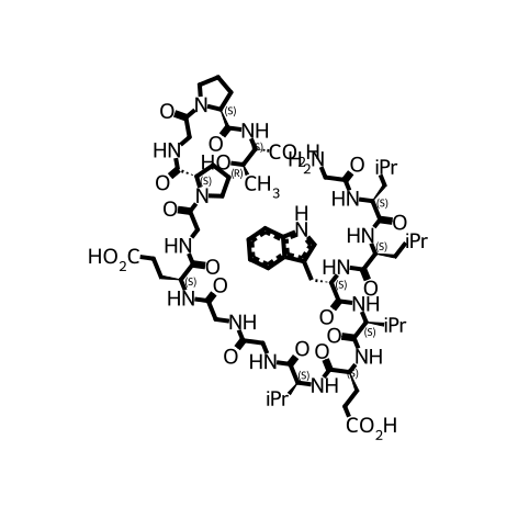 CC(C)C[C@H](NC(=O)CN)C(=O)N[C@@H](CC(C)C)C(=O)N[C@@H](Cc1c[nH]c2ccccc12)C(=O)N[C@H](C(=O)N[C@@H](CCC(=O)O)C(=O)N[C@H](C(=O)NCC(=O)NCC(=O)N[C@@H](CCC(=O)O)C(=O)NCC(=O)N1CCC[C@H]1C(=O)NCC(=O)N1CCC[C@H]1C(=O)N[C@H](C(=O)O)[C@@H](C)O)C(C)C)C(C)C